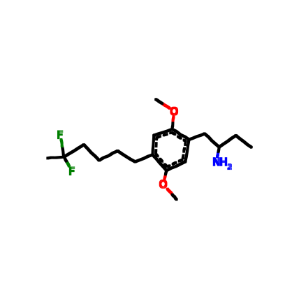 CCC(N)Cc1cc(OC)c(CCCCC(C)(F)F)cc1OC